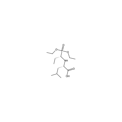 CCOP(=O)(OCC)[C@@H](CC)N[C@@H](CC(C)C)C(=O)O